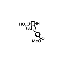 COC(=O)c1ccc(OCC2NCCN(C(=O)O)C2C(C)(C)C)cc1